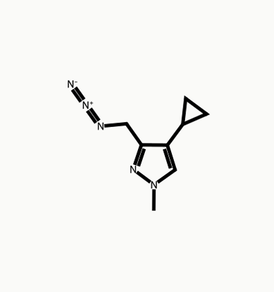 Cn1cc(C2CC2)c(CN=[N+]=[N-])n1